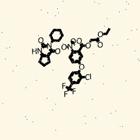 CCOC(=O)COC(=O)c1cc(Oc2ccc(C(F)(F)F)cc2Cl)ccc1[N+](=O)[O-].O=c1[nH]c2c(c(=O)n1C1CCCCC1)CCC2